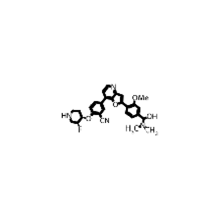 COc1cc(C(O)N(C)C)ccc1-c1cc2nccc(-c3ccc(O[C@@H]4CCNC[C@@H]4F)c(C#N)c3)c2o1